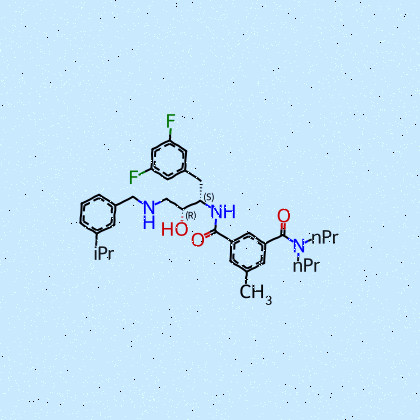 CCCN(CCC)C(=O)c1cc(C)cc(C(=O)N[C@@H](Cc2cc(F)cc(F)c2)[C@H](O)CNCc2cccc(C(C)C)c2)c1